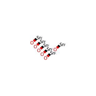 [O]=[Sn].[O]=[Sn].[O]=[Sn].[O]=[Sn].[O]=[Sn].[O]=[Sn]